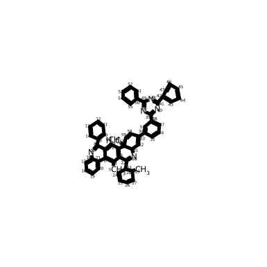 Cc1c2c(c(C)c3c1c(-c1ccccc1)nc1ccccc13)C(C1C=CC=CC1C)=NC1C=C(c3cccc(-c4nc(-c5ccccc5)nc(-c5ccccc5)n4)c3)C=CC21C